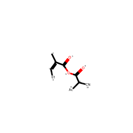 CCC=C(C)C(=O)OC(=O)C(C#N)C(C)=O